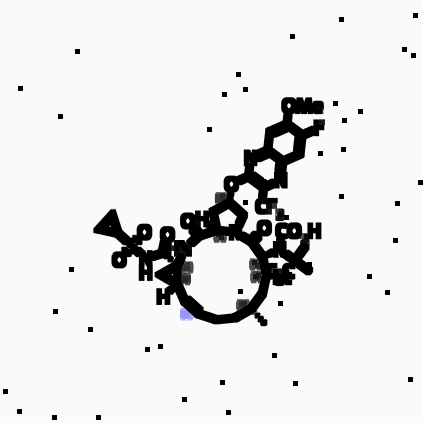 CC[C@@H]1C[C@H](C)CC/C=C\[C@@H]2C[C@@]2(C(=O)NS(=O)(=O)C2CC2)NC(=O)[C@@H]2C[C@@H](Oc3nc4cc(OC)c(F)cc4nc3C(F)(F)F)CN2C(=O)[C@H]1N(C(=O)O)C(C)(C)C(F)(F)F